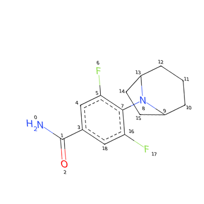 NC(=O)c1cc(F)c(N2C3CCCC2CC3)c(F)c1